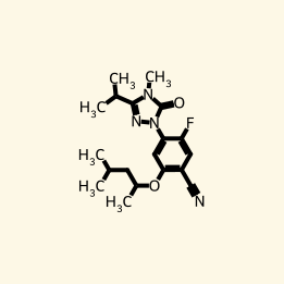 CC(C)CC(C)Oc1cc(-n2nc(C(C)C)n(C)c2=O)c(F)cc1C#N